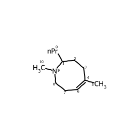 CCCC1CC/C(C)=C\CCN1C